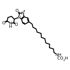 Cn1c(=O)n(C2CCC(=O)NC2=O)c2ccc(CCCCCCCCCCCCNC(=O)O)cc21